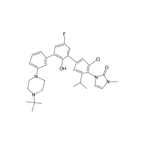 CC(C)c1cc(-c2cc(F)cc(-c3cccc(N4CCN(C(C)(C)C)CC4)c3)c2O)cc(Cl)c1-n1ccn(C)c1=O